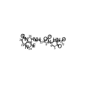 O=C1COc2ccc(N3C[C@H](CCCNC4Cn5c(=O)ccc6ncc(F)c4c65)OC3=O)cc2N1